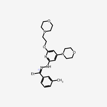 CC/C(=N/Nc1cc(N2CCOCC2)cc(OCCN2CCOCC2)n1)c1cccc(C)c1